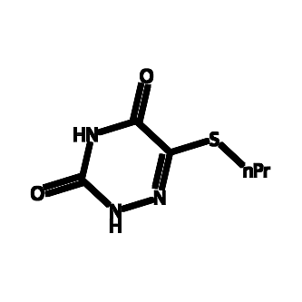 CCCSc1n[nH]c(=O)[nH]c1=O